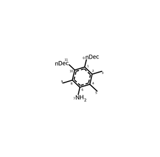 CCCCCCCCCCc1c(C)c(C)c(N)c(C)c1CCCCCCCCCC